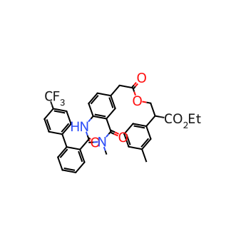 CCOC(=O)C(COC(=O)Cc1ccc(NC(=O)c2ccccc2-c2ccc(C(F)(F)F)cc2)c(C(=O)N(C)C)c1)c1cccc(C)c1